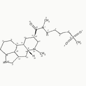 CN(NCCCS(C)(=O)=O)C(=O)[C@@H]1CC2C3CCCC4NCC(C[C@H]2N(C)C1)C43